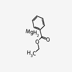 CCOC(=O)c1ccccc1.[MgH2]